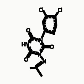 CC(C)=Nn1c(=O)[nH]c(=O)n(-c2ccc(Cl)c(Cl)c2)c1=O